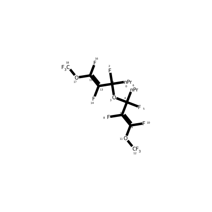 CCCC(F)(OC(F)(CCC)C(F)=C(F)OC(F)(F)F)C(F)=C(F)OC(F)(F)F